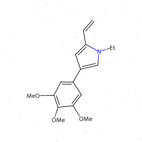 C=Cc1cc(-c2cc(OC)c(OC)c(OC)c2)cn1CC